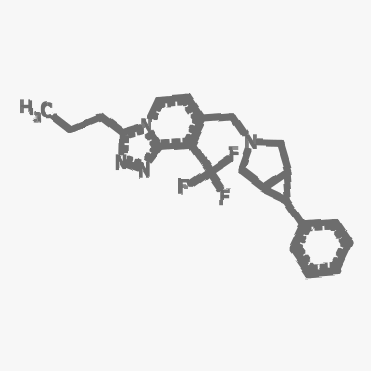 CCCc1nnc2c(C(F)(F)F)c(CN3CC4C(C3)C4c3ccccc3)ccn12